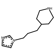 c1cn(CCCC2CCNCC2)cn1